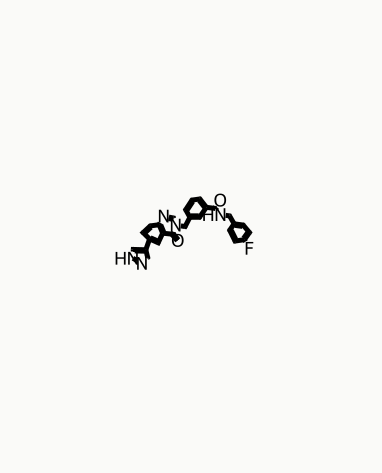 O=C(NCc1ccc(F)cc1)c1cccc(Cn2cnc3ccc(-c4cn[nH]c4)cc3c2=O)c1